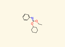 CCOC(=Nc1ccccc1)OC1CCCCC1